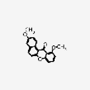 COc1ccc2c(ccc3oc4cccc(OC)c4c(=O)c32)c1